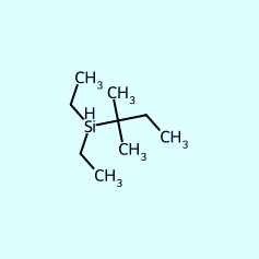 CC[SiH](CC)C(C)(C)CC